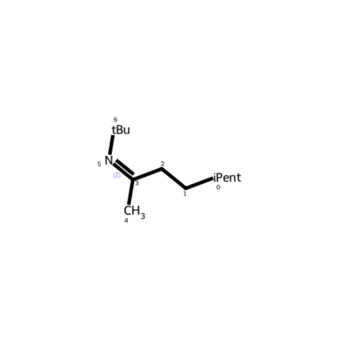 CCCC(C)CC/C(C)=N\C(C)(C)C